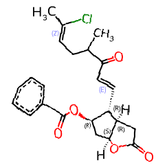 C/C(Cl)=C/CC(C)C(=O)/C=C/[C@@H]1[C@H]2CC(=O)O[C@H]2C[C@H]1OC(=O)c1ccccc1